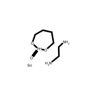 NCCN.O=[PH]1OCCCCO1.[Sn]